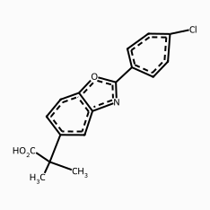 CC(C)(C(=O)O)c1ccc2oc(-c3ccc(Cl)cc3)nc2c1